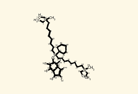 CC[Si](C)(CC)CCCCCCCC[Si](CCCCCCCC[Si](C)(CC)CC)(Oc1c(F)c(F)c2c(c1F)C(F)=C(F)[C]2F)C1CCCCC1